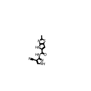 Cc1nc2[nH]c(C(=O)Nc3n[nH]cc3C#N)cc2s1